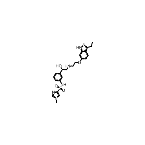 CCc1n[nH]c2cc(OCCNC[C@H](O)c3cccc(NS(=O)(=O)c4cn(C)cn4)c3)ccc12